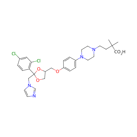 CC(C)(CCN1CCN(c2ccc(OCC3COC(Cn4ccnc4)(c4ccc(Cl)cc4Cl)O3)cc2)CC1)C(=O)O